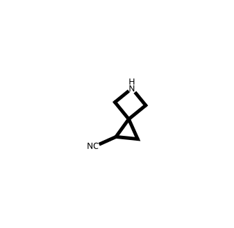 N#CC1CC12CNC2